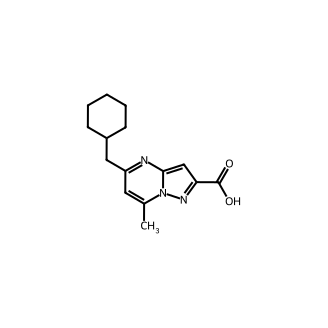 Cc1cc(CC2CCCCC2)nc2cc(C(=O)O)nn12